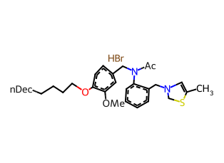 Br.CCCCCCCCCCCCCCOc1ccc(CN(C(C)=O)c2ccccc2CN2C=C(C)SC2)cc1OC